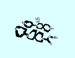 CC(C)(C)OC(=O)N1CCC2(CC1)CCN(c1ccncc1)CC2.Cl.Cl.c1cc(N2CCC3(CCNCC3)CC2)ccn1